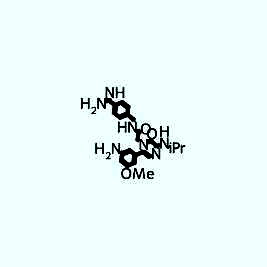 COc1cc(N)cc(-c2cnc(NC(C)C)c(=O)n2CC(=O)NCc2ccc(C(=N)N)cc2)c1